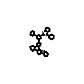 c1ccc(-c2cc(-c3ccc4c(c3)c3ccccc3c3ccc5c6ccccc6sc5c34)cc(-c3nc(-c4ccccc4)c4ccccc4n3)c2)cc1